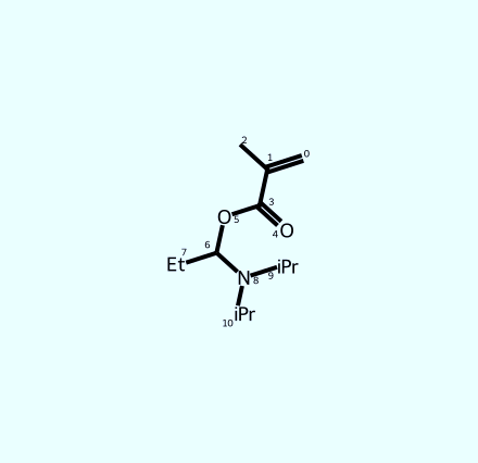 C=C(C)C(=O)OC(CC)N(C(C)C)C(C)C